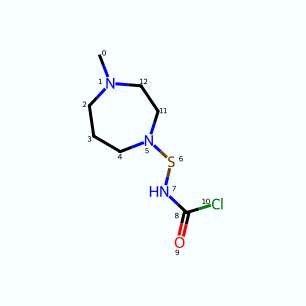 CN1CCCN(SNC(=O)Cl)CC1